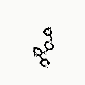 c1cncc(CN2CCC(Oc3cccnc3-c3ccncc3)CC2)c1